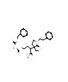 CCN(C(=O)OCCC(C(=O)NO)C1(CC(C)C)CCN(CCc2ccccc2)C1=O)C(=O)OCc1ccccc1